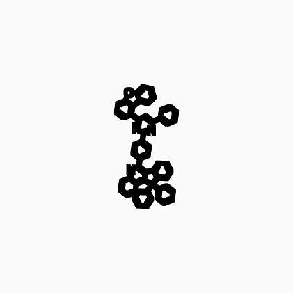 c1ccc(-c2cc(-c3cccc4oc5ccccc5c34)nc(-c3ccc(-c4nc5ccccc5c5c4-c4ccccc4C5(c4ccccc4)c4ccccc4)cc3)n2)cc1